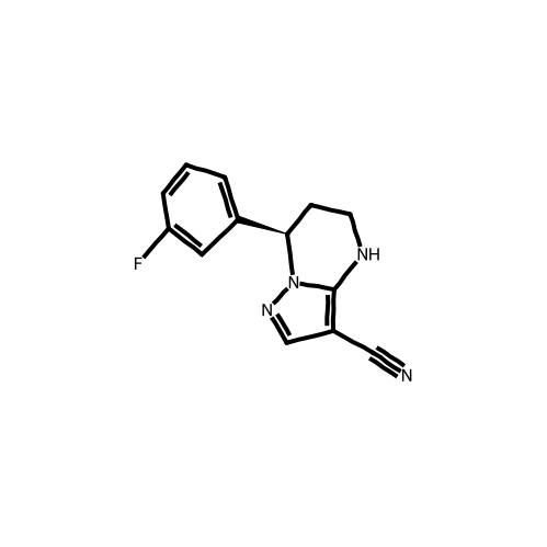 N#Cc1cnn2c1NCC[C@@H]2c1cccc(F)c1